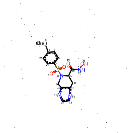 CC(C)COc1ccc(S(=O)(=O)N2Cc3nccnc3CC2C(=O)NO)cc1